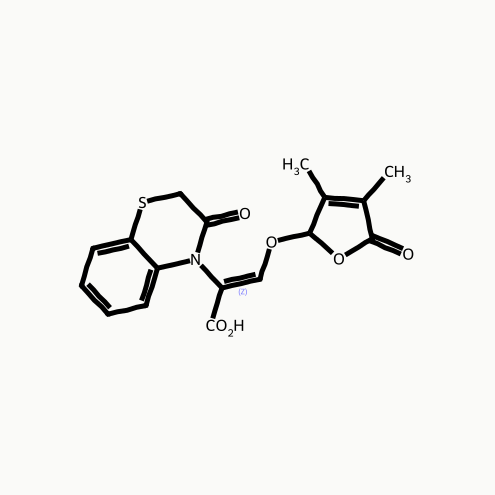 CC1=C(C)C(O/C=C(/C(=O)O)N2C(=O)CSc3ccccc32)OC1=O